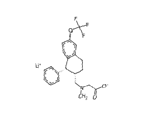 CN(CC(=O)[O-])C[C@H]1CCc2cc(OC(F)(F)F)ccc2[C@H]1c1ccccc1.[Li+]